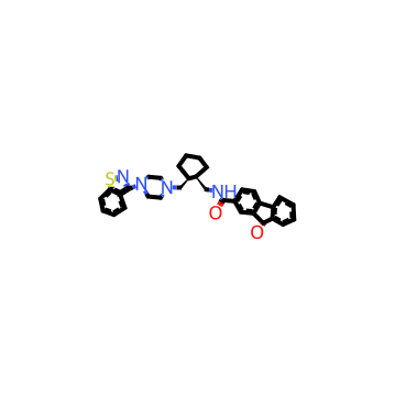 O=C(NC[C@@H]1CCCC[C@@H]1CN1CCN(c2nsc3ccccc23)CC1)c1ccc2c(c1)C(=O)c1ccccc1-2